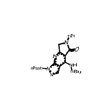 CCCCCn1ncc2c(NCCCC)c3c(nc21)CN(CCC)C3=O